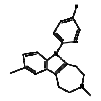 Cc1ccc2c(c1)c1c(n2-c2[c]cc(F)cc2)CCN(C)CC1